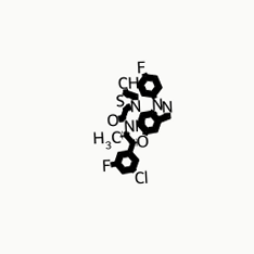 Cc1cnc(C(=O)N[C@@H](C)[C@H](Oc2ccc3c(cnn3-c3ccc(F)cc3)c2)c2cc(F)cc(Cl)c2)s1